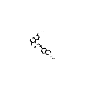 COc1ccc2c3c(cnc2n1)COC(=O)N3CC(C)(C)c1ccc2c(c1)CCN(S(=O)(=O)NC(=O)O)C2